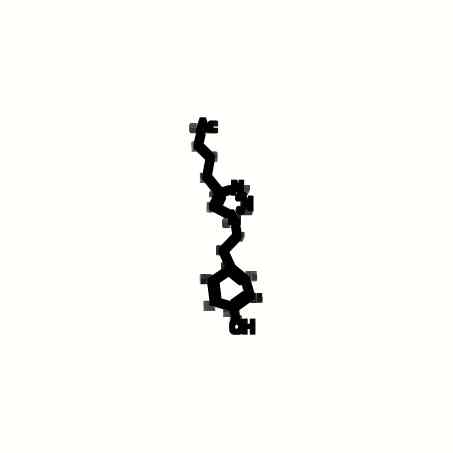 CC(=O)CCCc1cn(CCc2ccc(O)cc2)nn1